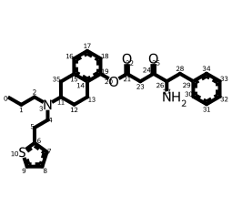 CCCN(CCc1cccs1)C1CCc2c(cccc2OC(=O)CC(=O)C(N)Cc2ccccc2)C1